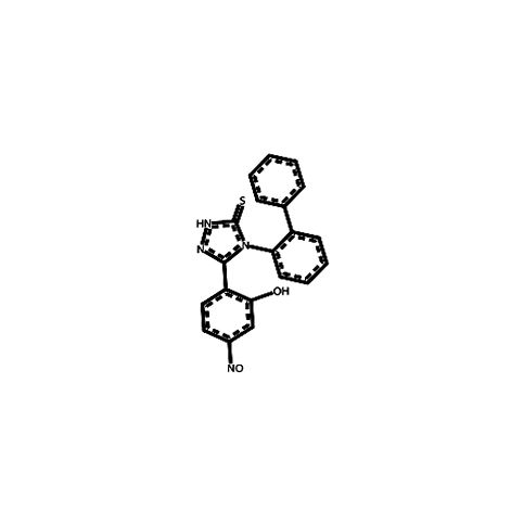 O=Nc1ccc(-c2n[nH]c(=S)n2-c2ccccc2-c2ccccc2)c(O)c1